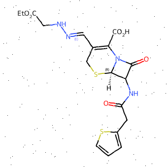 CCOC(=O)CN/N=C/C1=C(C(=O)O)N2C(=O)C(NC(=O)Cc3cccs3)[C@H]2SC1